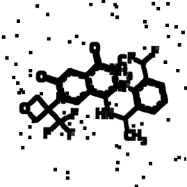 CC(Nc1nn(C)c(=O)c2cc(=O)n(C3(C(F)(F)F)COC3)cc12)c1cccc(C(F)F)c1F